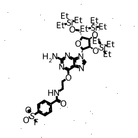 CC[Si](CC)(CC)OC[C@H]1O[C@@H](n2cnc3c(OCCNC(=O)c4ccc(S(=O)(=O)F)cc4)nc(N)nc32)[C@H](O[Si](CC)(CC)CC)[C@@H]1O[Si](CC)(CC)CC